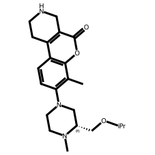 Cc1c(N2CCN(C)[C@@H](COC(C)C)C2)ccc2c3c(c(=O)oc12)CNCC3